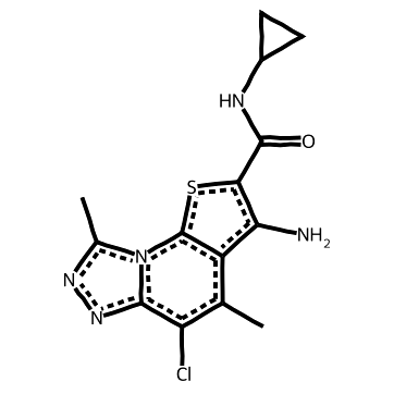 Cc1c(Cl)c2nnc(C)n2c2sc(C(=O)NC3CC3)c(N)c12